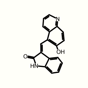 O=C1Nc2ccccc2C1=Cc1c(O)ccc2ncccc12